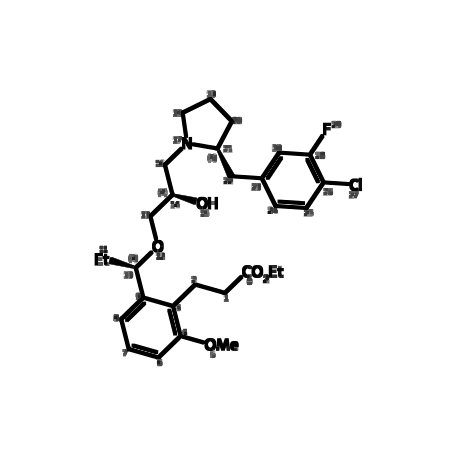 CCOC(=O)CCc1c(OC)cccc1[C@@H](CC)OC[C@H](O)CN1CCC[C@H]1Cc1ccc(Cl)c(F)c1